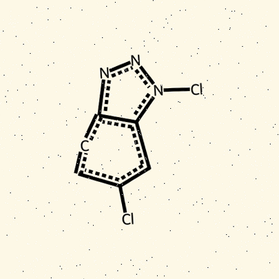 Clc1ccc2nnn(Cl)c2c1